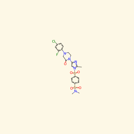 Cc1nc(N2CCN(c3ccc(Cl)cc3F)CC2=O)cn1S(=O)(=O)c1ccc(S(=O)(=O)N(C)C)cc1